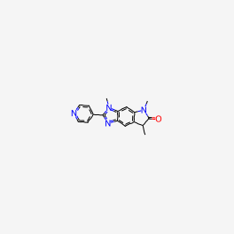 CC1C(=O)N(C)c2cc3c(cc21)nc(-c1ccncc1)n3C